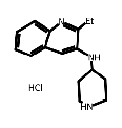 CCc1nc2ccccc2cc1NC1CCNCC1.Cl